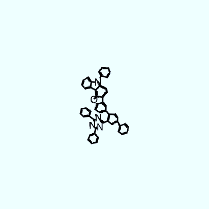 c1ccc(-c2ccc(-c3ccc4oc5c(ccc6c5c5ccccc5n6-c5ccccc5)c4c3)c(-c3nc(-c4ccccc4)nc(-c4ccccc4)n3)c2)cc1